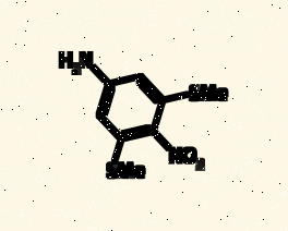 CSc1cc(N)cc(SC)c1[N+](=O)[O-]